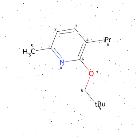 Cc1ccc(C(C)C)c(OCC(C)(C)C)n1